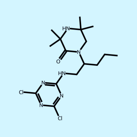 CCCC(CNc1nc(Cl)nc(Cl)n1)N1CC(C)(C)NC(C)(C)C1=O